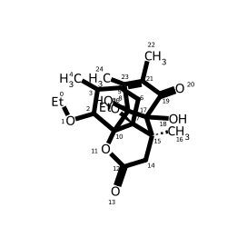 CCOC1C(C)CC[C@@]2(OCC)C13OC(=O)C[C@]2(C)C1(O)C(=O)C(C)=C(C)C13O